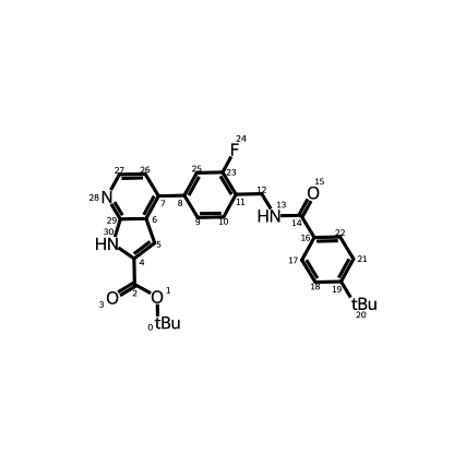 CC(C)(C)OC(=O)c1cc2c(-c3ccc(CNC(=O)c4ccc(C(C)(C)C)cc4)c(F)c3)ccnc2[nH]1